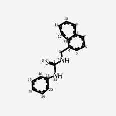 S=C(NCc1cccc2ccccc12)Nc1ccccc1